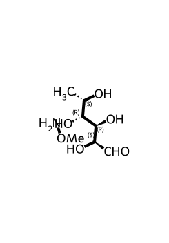 CON.C[C@H](O)[C@@H](O)[C@@H](O)[C@H](O)C=O